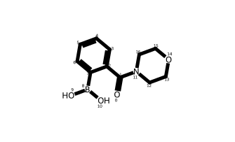 O=C(c1ccccc1B(O)O)N1CCOCC1